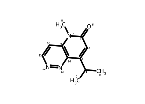 CC(C)c1cc(=O)n(C)c2ccnnc12